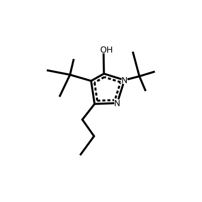 CCCc1nn(C(C)(C)C)c(O)c1C(C)(C)C